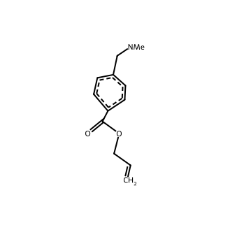 C=CCOC(=O)c1ccc(CNC)cc1